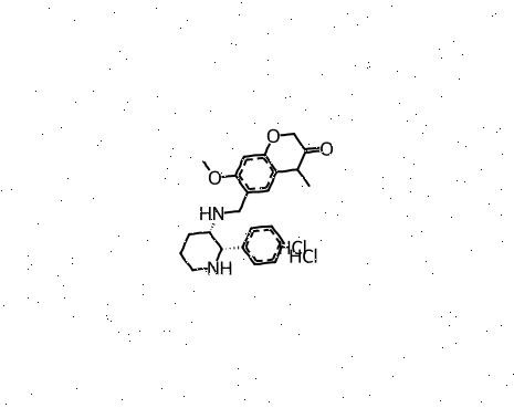 COc1cc2c(cc1CN[C@H]1CCCN[C@H]1c1ccccc1)C(C)C(=O)CO2.Cl.Cl